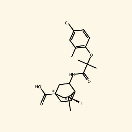 Cc1cc(Cl)ccc1OC(C)(C)C(=O)NC1C[C@@]2(C(=O)O)CC=C1[C@H](C)C2